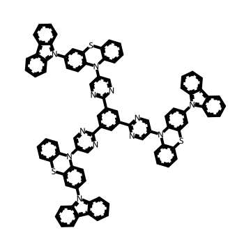 c1ccc2c(c1)Sc1cc(-n3c4ccccc4c4ccccc43)ccc1N2c1cnc(-c2cc(-c3ncc(N4c5ccccc5Sc5cc(-n6c7ccccc7c7ccccc76)ccc54)cn3)cc(-c3ncc(N4c5ccccc5Sc5cc(-n6c7ccccc7c7ccccc76)ccc54)cn3)c2)nc1